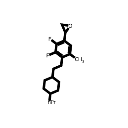 CCCC1CCC(CCc2c(C)cc(C3CO3)c(F)c2F)CC1